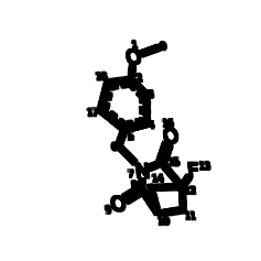 COc1ccc(CN2C(=O)C3CC(F)(C3)C2=O)cc1